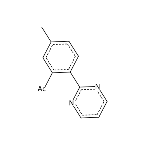 CC(=O)c1cc(C)ccc1-c1ncccn1